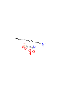 CCCCCCCCCCCCCCCCN(C)C.C[N+](C)(C)C(CCCS(=O)(=O)[O-])C(=O)O